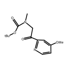 COc1ccnc(C(=O)CN(C)C(=O)OC(C)(C)C)c1